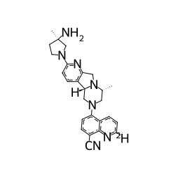 [2H]c1ccc2c(N3C[C@@H](C)N4Cc5nc(N6CC[C@@](C)(N)C6)ccc5[C@H]4C3)ccc(C#N)c2n1